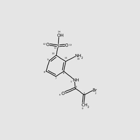 C=C(Br)C(=O)Nc1cccc(S(=O)(=O)O)c1N